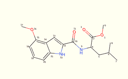 COC(=O)C(CC(C)C)NC(=O)c1cc2c(OC)cccc2[nH]1